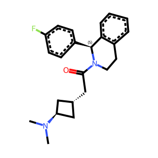 CN(C)[C@H]1C[C@H](CC(=O)N2CCc3ccccc3[C@@H]2c2ccc(F)cc2)C1